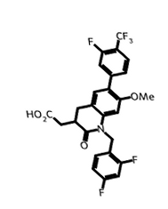 COc1cc2c(cc1-c1ccc(C(F)(F)F)c(F)c1)CC(CC(=O)O)C(=O)N2Cc1ccc(F)cc1F